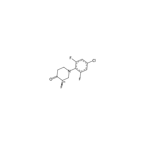 O=C1CCN(c2c(F)cc(Cl)cc2F)C[C@H]1F